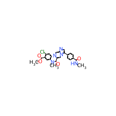 CNC(=O)c1ccc(-c2cnc3cnc(C(=O)N(C)c4ccc(Cl)c(C(=O)OC)c4)cn23)cc1